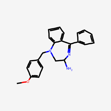 COc1ccc(CN2CC(N)N=C(c3ccccc3)c3ccccc32)cc1